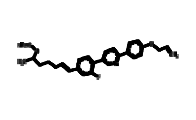 C=CCOc1ccc(-c2ccc(-c3ccc(C=CCCCC(C)OCCCCC)cc3F)cn2)cc1